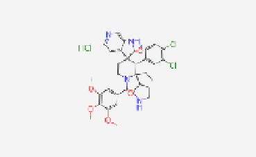 CCC1(C2CCNC2)C(c2ccc(Cl)c(Cl)c2)C(C(N)=O)(c2ccncc2)CCN1C(=O)c1cc(OC)c(OC)c(OC)c1.Cl